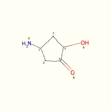 NC1CC(=O)C(O)C1